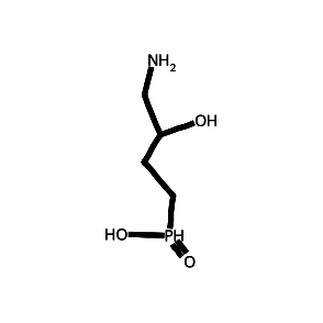 NCC(O)CC[PH](=O)O